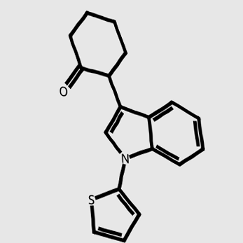 O=C1CCCCC1c1cn(-c2cccs2)c2ccccc12